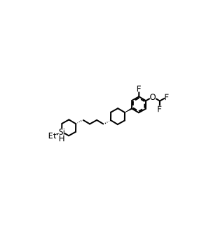 CC[Si@H]1CC[C@H](CCCC[C@H]2CC[C@H](c3ccc(OC(F)F)c(F)c3)CC2)CC1